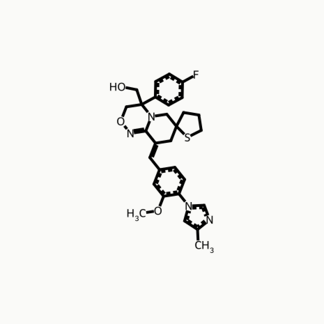 COc1cc(/C=C2\CC3(CCCS3)CN3C2=NOCC3(CO)c2ccc(F)cc2)ccc1-n1cnc(C)c1